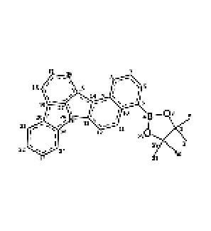 CC1(C)OB(c2cccc3c2ccc2c3c3cccc4c5ccccc5n2c43)OC1(C)C